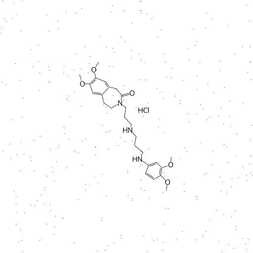 COc1ccc(NCCCNCCCN2CCc3cc(OC)c(OC)cc3CC2=O)cc1OC.Cl